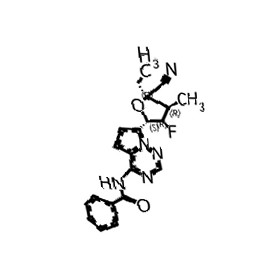 CC[C@@]1(C#N)O[C@@H](c2ccc3c(NC(=O)c4ccccc4)ncnn23)[C@H](F)[C@@H]1C